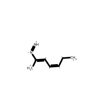 CC/C=C\C=C(/C)N=N